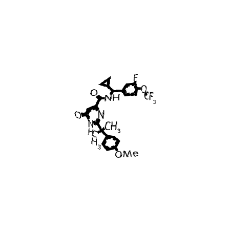 COc1ccc(C(C)(C)c2nc(C(=O)NC(c3ccc(OC(F)(F)F)c(F)c3)C3CC3)cc(=O)[nH]2)cc1